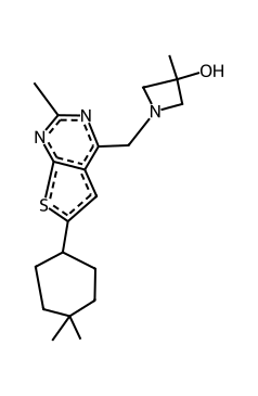 Cc1nc(CN2CC(C)(O)C2)c2cc(C3CCC(C)(C)CC3)sc2n1